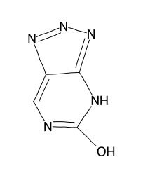 Oc1ncc2nnnc-2[nH]1